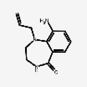 C=CCN1CCNC(=O)c2cccc(N)c21